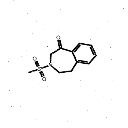 CS(=O)(=O)N1CCc2ccccc2C(=O)C1